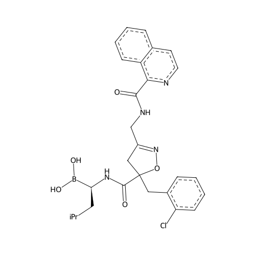 CC(C)C[C@H](NC(=O)C1(Cc2ccccc2Cl)CC(CNC(=O)c2nccc3ccccc23)=NO1)B(O)O